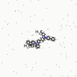 Cc1ccc2c(c1)c1cc(C3=CC=C4C(C3)c3ccccc3N4c3ccc4c(c3)C(C)(C)c3ccccc3-4)ccc1n2-c1ccc(-c2ccccc2)cc1